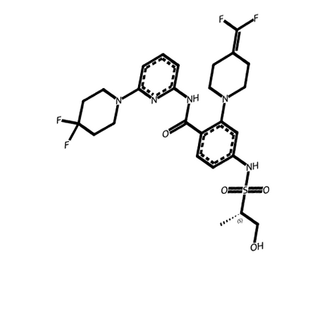 C[C@@H](CO)S(=O)(=O)Nc1ccc(C(=O)Nc2cccc(N3CCC(F)(F)CC3)n2)c(N2CCC(=C(F)F)CC2)c1